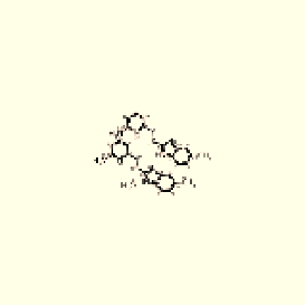 Cc1ccc2[nH]c(SCc3cccc(N)n3)nc2c1.Cc1ccc2[nH]c(SCc3cccc(N)n3)nc2c1.O